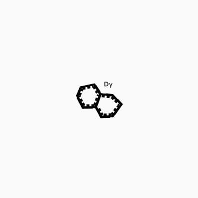 [Dy].c1ccc2ccccc2c1